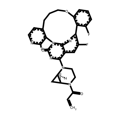 C=CC(=O)N1CCN(c2nc(=O)n3c4nc(c(F)cc24)-c2c(F)cccc2OCCCc2ccnc(C(C)C)c2-3)[C@@H]2C[C@@H]21